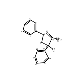 CCC(CCc1ccccc1)(C(N)=O)c1ccccc1